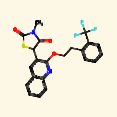 CN1C(=O)SC(c2cc3ccccc3nc2OCCc2ccccc2C(F)(F)F)C1=O